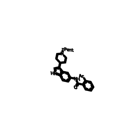 CCCCCN1CCC(c2c[nH]c3ccc(NC(=O)c4ccccc4C(C)=O)cc23)CC1